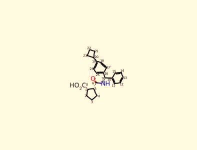 O=C(O)[C@H]1CCC[C@H]1C(=O)N[C@@H](c1ccccc1)c1ccc(C2CCC2)cc1